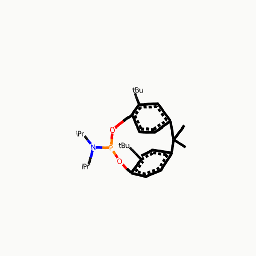 CC(C)N(C(C)C)P1Oc2ccc(cc2C(C)(C)C)C(C)(C)c2ccc(c(C(C)(C)C)c2)O1